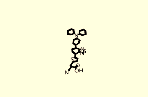 N#C/C(=C/c1ccc(-c2ccc(-c3ccc(N(c4ccccc4)c4ccccc4)cc3)c3nsnc23)s1)C(=O)O